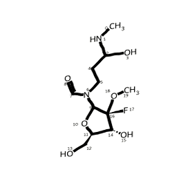 CNC(O)CCN(C=O)C1O[C@H](CO)[C@@H](O)[C@@]1(F)OC